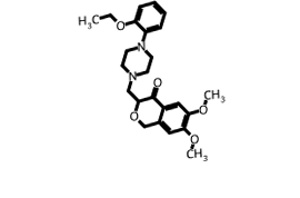 CCOc1ccccc1N1CCN(CC2OCc3cc(OC)c(OC)cc3C2=O)CC1